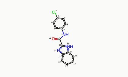 O=C(Nc1ccc(Cl)cc1)c1nc2ccccc2[nH]1